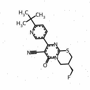 CC(C)(C)c1ccc(-c2nc3n(c(=O)c2C#N)C[C@H](CF)CS3)cn1